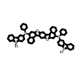 CCn1c2ccccc2c2cc(N(c3ccccc3)c3cc4oc5cc6c(cc5c4c4ccccc34)oc3cc(N(c4ccccc4)c4ccc5c(c4)c4ccccc4n5CC)c4ccccc4c36)ccc21